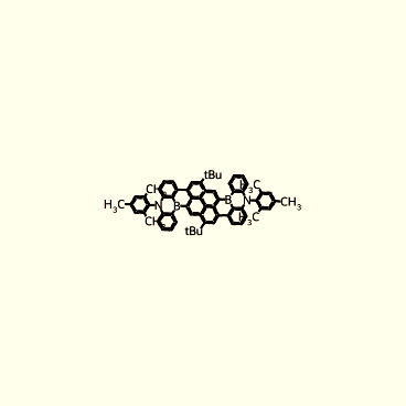 Cc1cc(C)c(N2c3ccccc3B3c4c(cccc42)-c2cc(C(C)(C)C)c4cc5c6c(cc(C(C)(C)C)c7cc3c2c4c76)-c2cccc3c2B5c2ccccc2N3c2c(C)cc(C)cc2C)c(C)c1